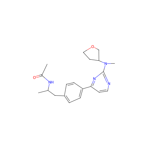 CC(=O)NC(C)Cc1ccc(-c2ccnc(N(C)C3CCOC3)n2)cc1